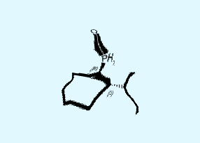 CC(C)[C@@H]1CCCC[C@H]1[PH2]=O